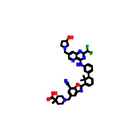 CC1(C(=O)O)CCN(Cc2cc(C#N)c3oc(C4=CC=CC(c5cccc(Nc6nc(C(F)F)nc7cc(CN8CCC(O)C8)cnc67)c5)C4(C)C)nc3c2)CC1